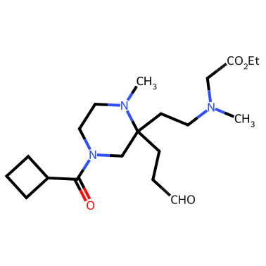 CCOC(=O)CN(C)CCC1(CCC=O)CN(C(=O)C2CCC2)CCN1C